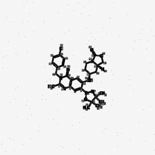 Cc1nc2cc(B3OC(C)(C)C(C)(C)O3)c(N[C@H]3CCN4C(=O)OC[C@@H]4C3)cc2c(=O)n1Cc1ccc(Cl)cc1